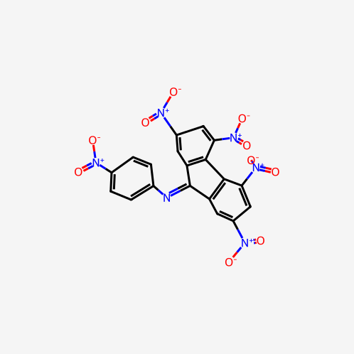 O=[N+]([O-])c1ccc(N=C2c3cc([N+](=O)[O-])cc([N+](=O)[O-])c3-c3c2cc([N+](=O)[O-])cc3[N+](=O)[O-])cc1